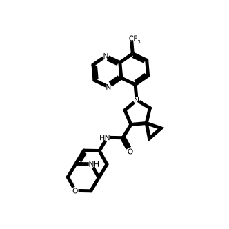 O=C(NC1C=C2COCC(C1)N2)C1CN(c2ccc(C(F)(F)F)c3nccnc23)CC12CC2